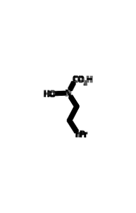 CCCCCN(O)C(=O)O